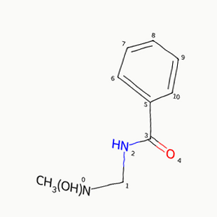 CN(O)CNC(=O)c1ccccc1